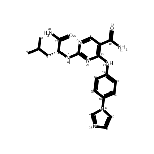 CC(C)C[C@@H](Nc1ncc(C(N)=O)c(Nc2ccc(-n3ccnc3)cc2)n1)C(N)=O